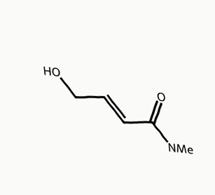 [CH2]NC(=O)/C=C/CO